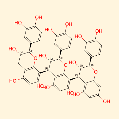 Oc1cc(O)c2c(c1)O[C@H](c1ccc(O)c(O)c1)[C@@H](O)[C@@H]2c1c(O)cc(O)c2c1O[C@H](c1ccc(O)c(O)c1)[C@@H](O)[C@@H]2c1c(O)cc(O)c2c1O[C@H](c1ccc(O)c(O)c1)[C@@H](O)C2